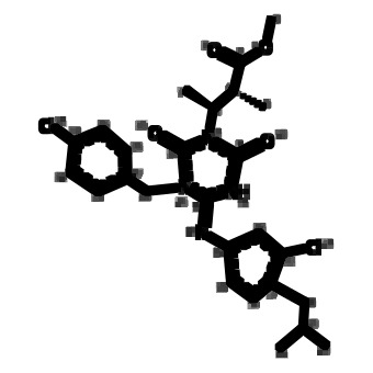 COC(=O)[C@H](C)[C@H](C)n1c(=O)[nH]/c(=N\c2ccc(CC(C)C)c(Cl)c2)n(Cc2ccc(Cl)cc2)c1=O